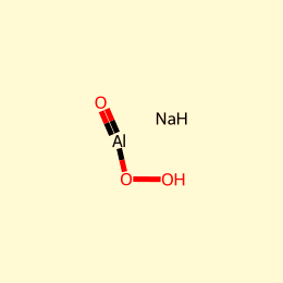 [NaH].[O]=[Al][O]O